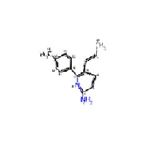 C/C=C/c1ccc(N)nc1-c1ccc(C)cc1